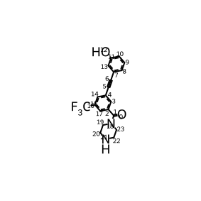 O=C(c1cc(C#Cc2cccc(O)c2)cc(C(F)(F)F)c1)N1CCNCC1